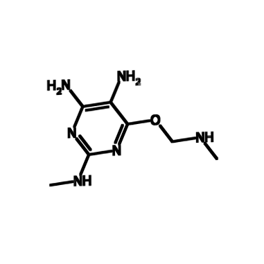 CNCOc1nc(NC)nc(N)c1N